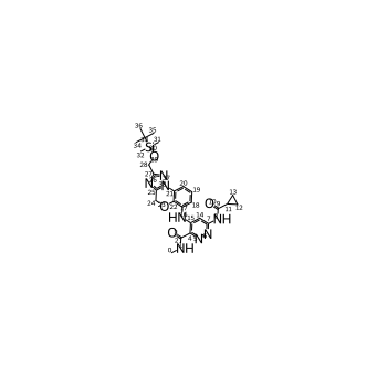 CNC(=O)c1nnc(NC(=O)C2CC2)cc1Nc1cccc2c1OCc1nc(CO[Si](C)(C)C(C)(C)C)nn1-2